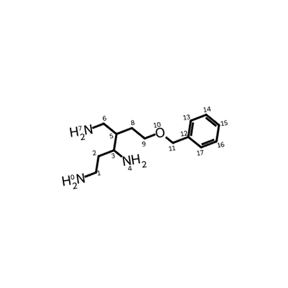 NCCC(N)C(CN)CCOCc1ccccc1